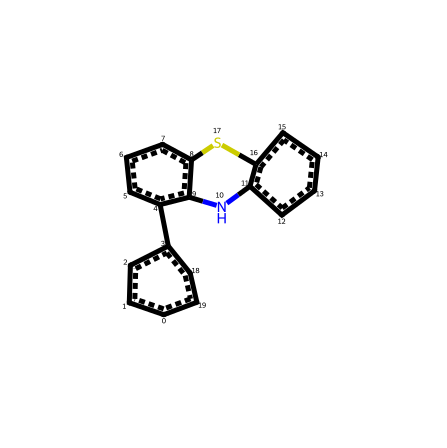 [c]1ccc(-c2cccc3c2Nc2ccccc2S3)cc1